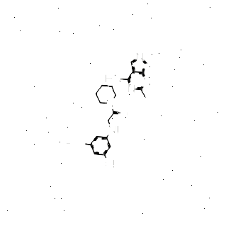 Cc1nc(N[C@H]2CCCN(C(=O)CNc3cc(C(F)(F)F)cc(C(F)(F)F)c3)C2)c2cn[nH]c2n1